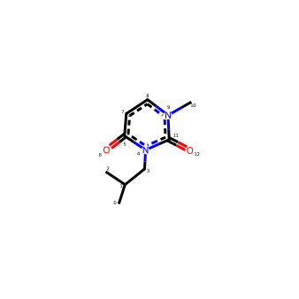 CC(C)Cn1c(=O)ccn(C)c1=O